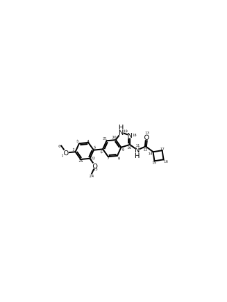 COc1ccc(-c2ccc3c(NC(=O)C4CCC4)n[nH]c3c2)c(OC)c1